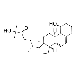 C[C@H](CCC(=O)C(C)(C)O)[C@H]1CC[C@H]2C3=CC=C4CCC[C@H](O)[C@]4(C)[C@H]3CC[C@]12C